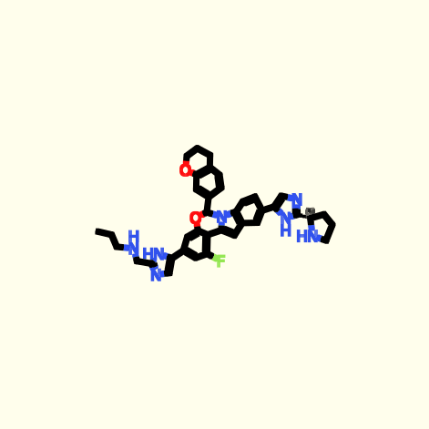 CCCNCc1ncc(-c2cc(F)c3c(c2)OC(c2ccc4c(c2)OCCC4)n2c-3cc3cc(-c4cnc([C@@H]5CCCN5)[nH]4)ccc32)[nH]1